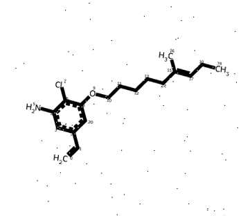 C=Cc1cc(N)c(Cl)c(OCCCCC/C(C)=C/CC)c1